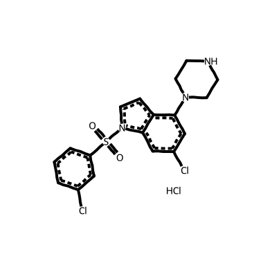 Cl.O=S(=O)(c1cccc(Cl)c1)n1ccc2c(N3CCNCC3)cc(Cl)cc21